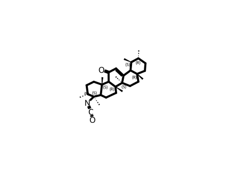 C[C@@H]1CC[C@]2(C)CC[C@]3(C)C(=CC(=O)C4[C@@]5(C)CC[C@@H](C)[C@](C)(N=C=O)C5CC[C@]43C)C2[C@H]1C